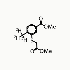 [2H]C([2H])([2H])c1ccc(C(=O)OC)cc1SCC(=O)OC